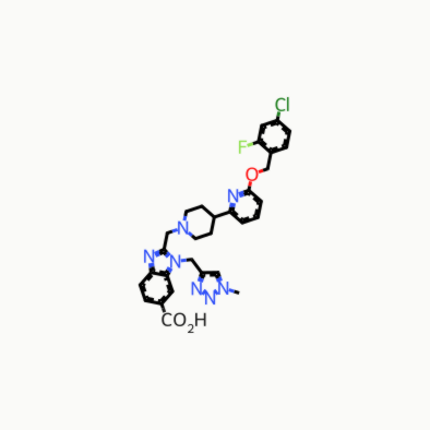 Cn1cc(Cn2c(CN3CCC(c4cccc(OCc5ccc(Cl)cc5F)n4)CC3)nc3ccc(C(=O)O)cc32)nn1